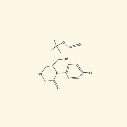 CC(C)(C)OC=O.O=C1CNCC(CO)N1c1ccc(Cl)cc1